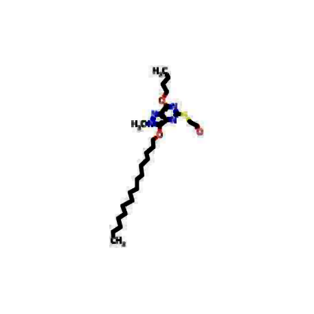 CCCCCCCCCCCCCCCCOc1c2nc(SCC=O)nc(OCCCC)c2nn1C